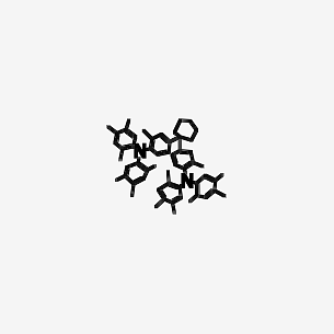 Cc1cc(C)c(N(c2ccc(C3(c4ccc(N(c5cc(C)c(C)cc5C)c5cc(C)c(C)cc5C)c(C)c4)CCCCC3)cc2C)c2cc(C)c(C)cc2C)cc1C